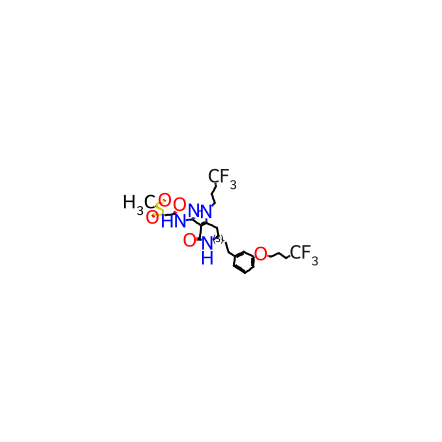 CS(=O)(=O)CC(=O)Nc1nn(CCCC(F)(F)F)c2c1C(=O)N[C@@H](CCc1cccc(OCCCC(F)(F)F)c1)C2